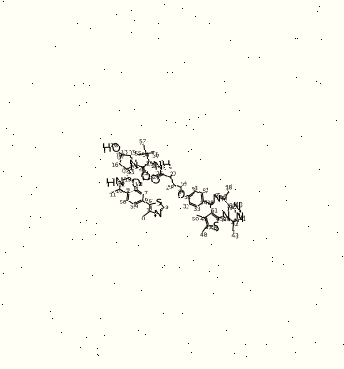 Cc1ncsc1-c1ccc(C(C)NC(=O)[C@@H]2C[C@@H](O)CN2C(=O)C(NC(=O)CCCOc2ccc(C3=N[C@@H](C)c4nnc(C)n4-c4sc(C)c(C)c43)cc2)C(C)(C)C)cc1